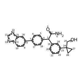 NC(=O)C(c1ccc(-c2ccn3ncnc3c2)cc1)c1cccc(C2(CO)CC2)c1